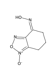 [O-][n+]1onc2c1CCC/C2=N/O